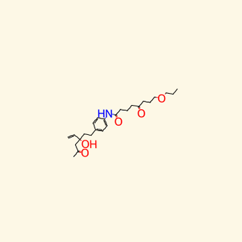 C=CC(O)(CCc1ccc(NC(=O)CCCC(=O)CCCOCCC)cc1)CC(C)=O